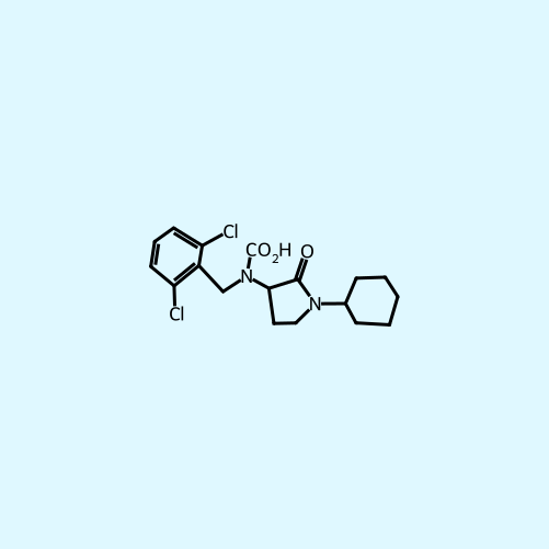 O=C1C(N(Cc2c(Cl)cccc2Cl)C(=O)O)CCN1C1CCCCC1